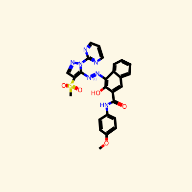 COc1ccc(NC(=O)c2cc3ccccc3c(/N=N/c3c(S(C)(=O)=O)cnn3-c3ncccn3)c2O)cc1